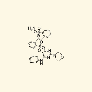 NOS(=O)(=O)c1ccccc1C=Cc1ccccc1S(=O)(=O)Oc1nc(Nc2ccccc2)nc(N2CCOCC2)n1